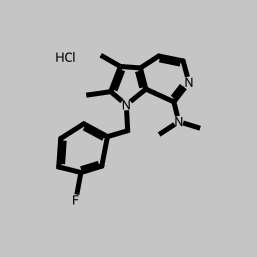 Cc1c(C)n(Cc2cccc(F)c2)c2c(N(C)C)nccc12.Cl